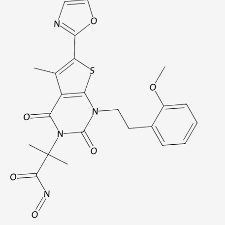 COc1ccccc1CCn1c(=O)n(C(C)(C)C(=O)N=O)c(=O)c2c(C)c(-c3ncco3)sc21